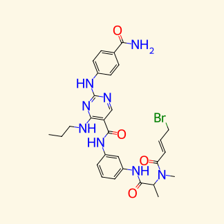 CCCNc1nc(Nc2ccc(C(N)=O)cc2)ncc1C(=O)Nc1cccc(NC(=O)C(C)N(C)C(=O)C=CCBr)c1